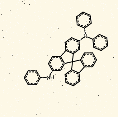 c1ccc(Nc2ccc3c(c2)C2(c4ccccc4-c4ccccc42)c2cc(N(c4ccccc4)c4ccccc4)ccc2-3)cc1